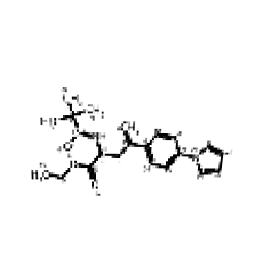 C=C(C[C@H](N[S+]([O-])C(C)(C)C)C(=O)OCC)c1ccc(-n2cccc2)cc1